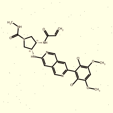 C=CC(=O)N[C@H]1CN(C(=O)NC)C[C@H]1Nc1cc2cnc(-c3c(Cl)c(OC)cc(OC)c3Cl)cc2cn1